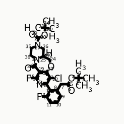 CC(C)(C)OC(=O)Cc1cccc(F)c1-c1nc(F)c2c(c1Cl)OC[C@H]1CN(C(=O)OC(C)(C)C)CCN1C2=O